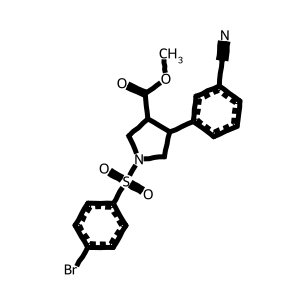 COC(=O)C1CN(S(=O)(=O)c2ccc(Br)cc2)CC1c1cccc(C#N)c1